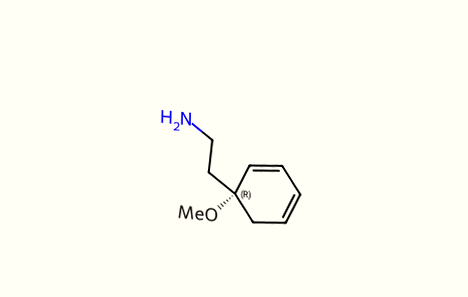 CO[C@]1(CCN)C=CC=CC1